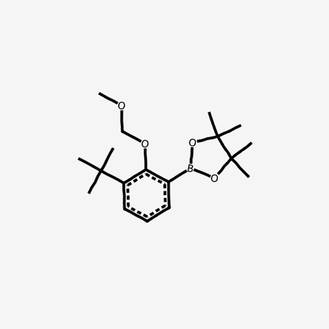 COCOc1c(B2OC(C)(C)C(C)(C)O2)cccc1C(C)(C)C